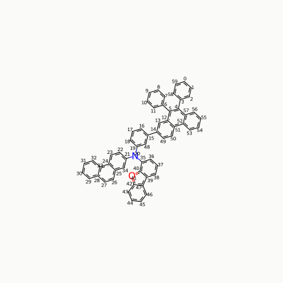 c1ccc(-c2c(-c3ccccc3)c3cc(-c4cccc(N(c5ccc6c(ccc7ccccc76)c5)c5cccc6c5oc5ccccc56)c4)ccc3c3ccccc23)cc1